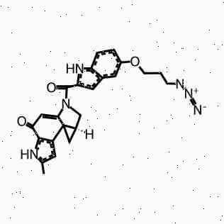 Cc1cc2c([nH]1)C(=O)C=C1N(C(=O)c3cc4cc(OCCCN=[N+]=[N-])ccc4[nH]3)C[C@H]3CC123